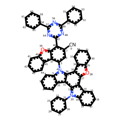 N#Cc1cc(-n2c3ccccc3c3c4c(c5ccccc5n4-c4ccccc4)c4oc5ccccc5c4c32)c2c(oc3ccccc32)c1-c1nc(-c2ccccc2)nc(-c2ccccc2)n1